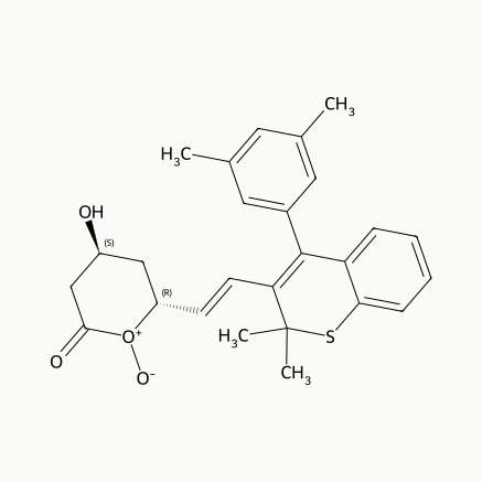 Cc1cc(C)cc(C2=C(C=C[C@H]3C[C@H](O)CC(=O)[O+]3[O-])C(C)(C)Sc3ccccc32)c1